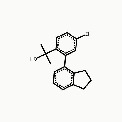 CC(C)(O)c1ccc(Cl)cc1-c1cccc2c1CCC2